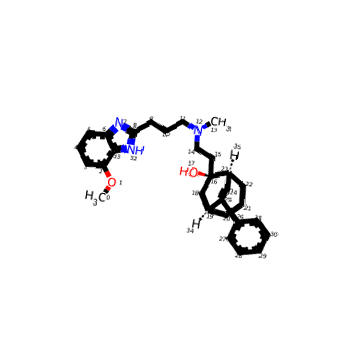 COc1cccc2nc(CCCN(C)CC[C@@]3(O)C[C@@H]4CCC[C@H]3C=C4c3ccccc3)[nH]c12